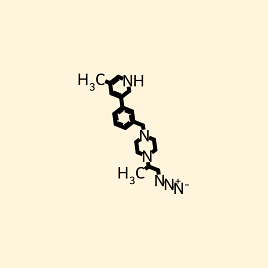 CC1=CNCC(c2cccc(CN3CCN(C(C)CN=[N+]=[N-])CC3)c2)=C1